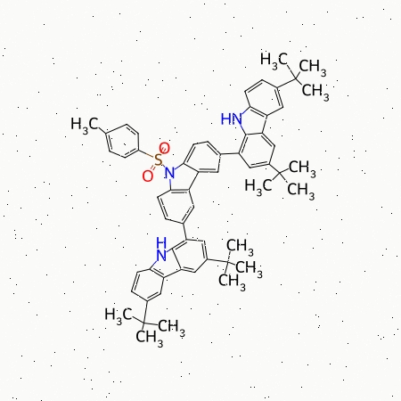 Cc1ccc(S(=O)(=O)n2c3ccc(-c4cc(C(C)(C)C)cc5c4[nH]c4ccc(C(C)(C)C)cc45)cc3c3cc(-c4cc(C(C)(C)C)cc5c4[nH]c4ccc(C(C)(C)C)cc45)ccc32)cc1